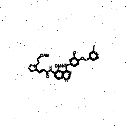 COCCN1CCCC1/C=C/C(=O)Nc1ccc2ncnc(Nc3ccc(OCc4cccc(F)c4)c(Cl)c3)c2c1OC